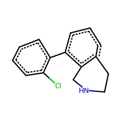 Clc1ccccc1-c1cccc2c1CNCC2